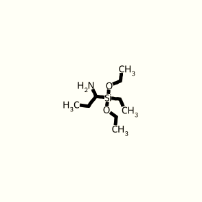 CCO[Si](CC)(OCC)C(N)CC